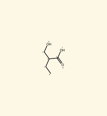 CC[C](CO)C(=O)O